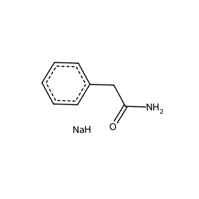 NC(=O)Cc1ccccc1.[NaH]